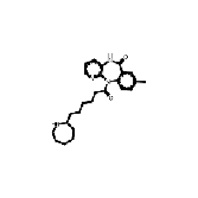 Cc1ccc2c(c1)C(=O)Nc1cccnc1N2C(=O)CCCCCC1CCCCCN1